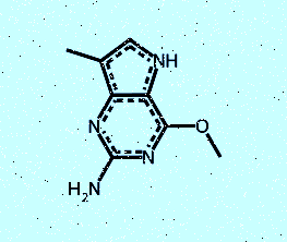 COc1nc(N)nc2c(C)c[nH]c12